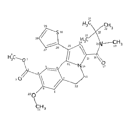 COC(=O)c1cc2c(cc1OC)CCn1c(C(=O)N(C)C(C)(C)C)cc(-c3cccs3)c1-2